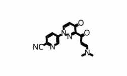 CN(C)C=CC(=O)c1nn(-c2ccc(C#N)nc2)ccc1=O